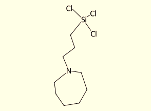 Cl[Si](Cl)(Cl)CCCN1CCCCCC1